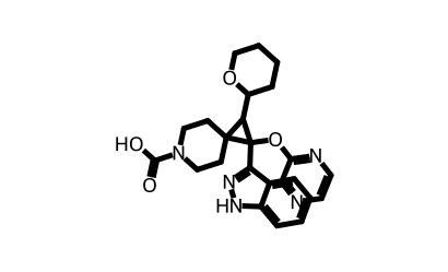 O=C(O)N1CCC2(CC1)C(C1CCCCO1)C2(Oc1cnccn1)c1n[nH]c2ccccc12